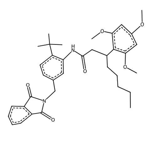 CCCCCC(CC(=O)Nc1cc(CN2C(=O)c3ccccc3C2=O)ccc1C(C)(C)C)c1c(OC)cc(OC)cc1OC